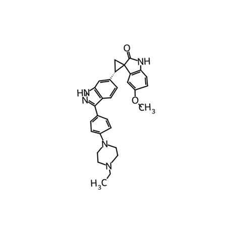 CCN1CCN(c2ccc(-c3n[nH]c4cc([C@@H]5CC56C(=O)Nc5ccc(OC)cc56)ccc34)cc2)CC1